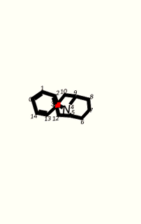 c1ccc(N2C3CCCC2CCC3)cc1